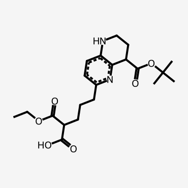 CCOC(=O)C(CCCc1ccc2c(n1)C(C(=O)OC(C)(C)C)CCN2)C(=O)O